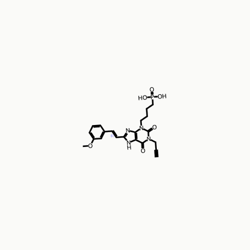 C#CCn1c(=O)c2[nH]c(/C=C/c3cccc(OC)c3)nc2n(CCCCP(=O)(O)O)c1=O